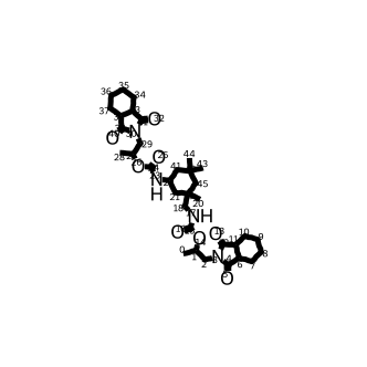 CC(CN1C(=O)C2CCCCC2C1=O)OC(=O)NCC1(C)CC(NC(=O)OC(C)CN2C(=O)C3CCCCC3C2=O)CC(C)(C)C1